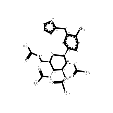 CC(=O)OC[C@H]1O[C@@H](c2ccc(C)c(Cc3cccs3)c2)[C@H](OC(C)=O)[C@@H](OC(C)=O)[C@@H]1OC(C)=O